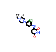 Cl.O=C(O)CN1CCN(c2ccc(NC3CCC(=O)NC3=O)cc2)CC1